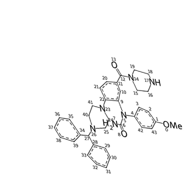 COc1ccc(N(C(N)=O)c2cc(C(=O)N3CCNCC3)ccc2N2CCN(C(c3ccccc3)c3ccccc3)CC2)cc1